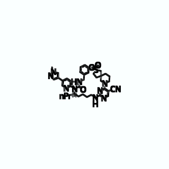 CCC[C@@H](CCCCNc1ncc(C#N)c(N2CCCC3(CCS(=O)(=O)C3)C2)n1)N(C(=O)NCc1ccccc1)c1ccc(-c2cnn(C)c2)cn1